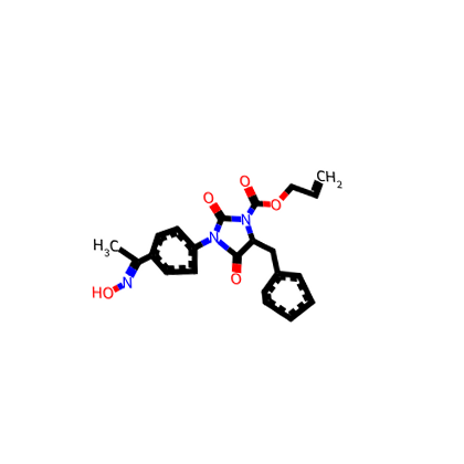 C=CCOC(=O)N1C(=O)N(c2ccc(C(C)=NO)cc2)C(=O)C1Cc1ccccc1